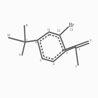 C=C(C)c1ccc(C(C)(C)C)cc1Br